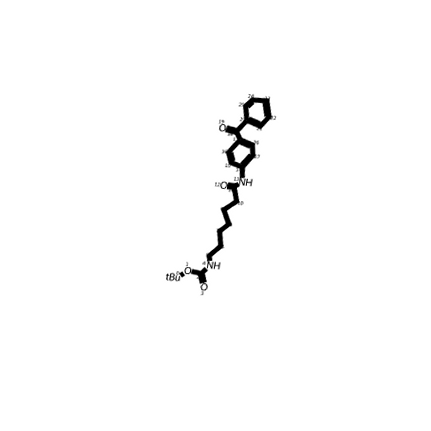 CC(C)(C)OC(=O)NCCCCCCC(=O)Nc1ccc(C(=O)c2ccccc2)cc1